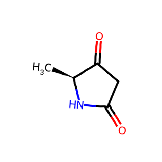 C[C@@H]1NC(=O)CC1=O